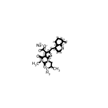 CC(C)Cn1c(=O)n(C)c(=O)c2c(C(=O)[O-])c(Cc3ccnc4c(F)cccc34)sc21.[Na+]